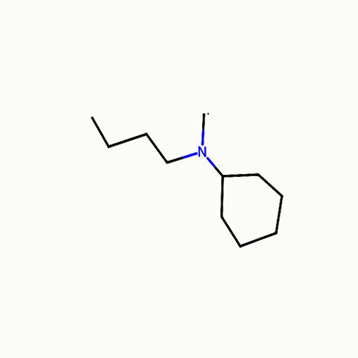 [CH2]N(CCCC)C1CCCCC1